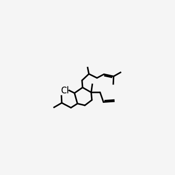 C=CCC1(C)CCC(CC(C)C)C(Cl)C1CC(C)CC=C(C)C